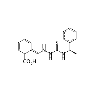 C[C@@H](NC(=S)NNC=C1C=CC=CC1C(=O)O)c1ccccc1